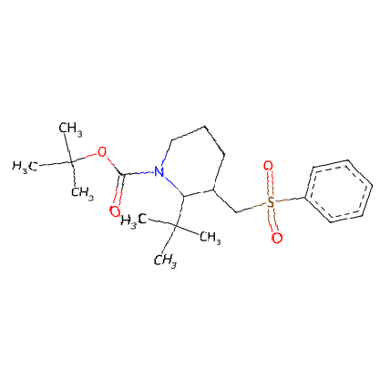 CC(C)(C)OC(=O)N1CCCC(CS(=O)(=O)c2ccccc2)C1C(C)(C)C